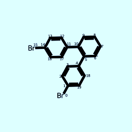 Brc1ccc(-c2[c]cccc2-c2ccc(Br)cc2)cc1